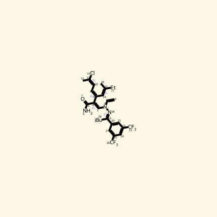 C=CN(/C=C(/C(N)=O)C(=C/C=C(\C)Cl)/C=C(\C)CC)/N=C(/c1cc(C(F)(F)F)cc(C(F)(F)F)c1)C(C)CC